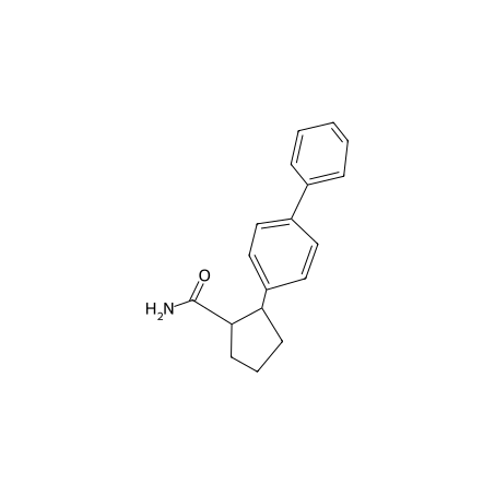 NC(=O)C1CCCC1c1ccc(-c2ccccc2)cc1